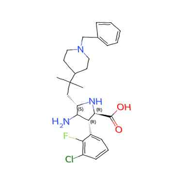 CC(C)(C[C@@H]1N[C@@H](C(=O)O)[C@H](c2cccc(Cl)c2F)C1N)C1CCN(Cc2ccccc2)CC1